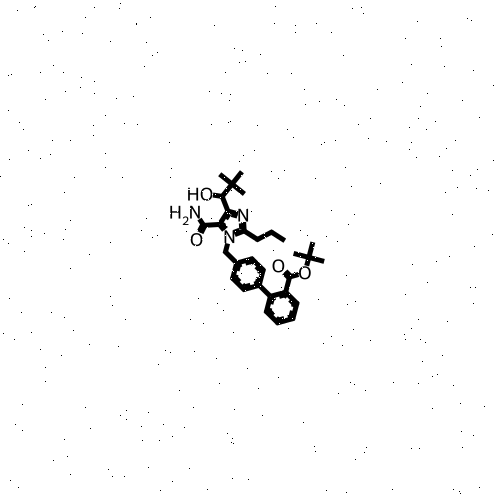 CCCc1nc(C(O)C(C)(C)C)c(C(N)=O)n1Cc1ccc(-c2ccccc2C(=O)OC(C)(C)C)cc1